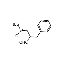 CC(C)(C)[S+]([O-])CC([C]=O)Cc1ccccc1